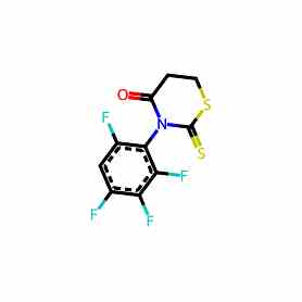 O=C1CCSC(=S)N1c1c(F)cc(F)c(F)c1F